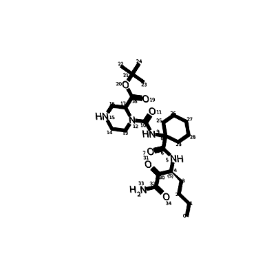 CCCC[C@H](NC(=O)C1(NC(=O)N2CCNCC2C(=O)OC(C)(C)C)CCCCC1)C(=O)C(N)=O